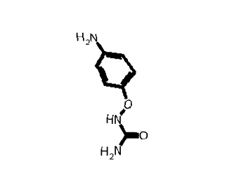 NC(=O)NOc1ccc(N)cc1